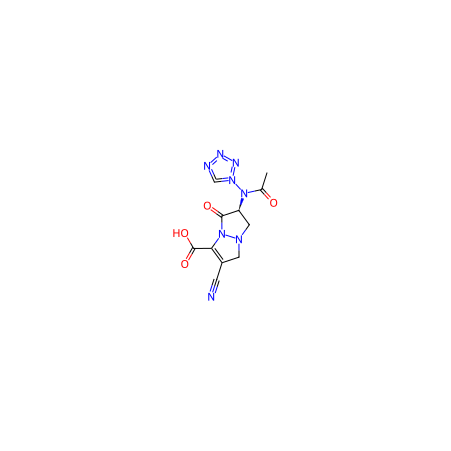 CC(=O)N([C@H]1CN2CC(C#N)=C(C(=O)O)N2C1=O)n1cnnn1